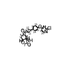 O=C1CO[C@H]2CCN(C(=O)N3CC(c4ccc(Oc5ccnc(Cl)n5)cc4)C3)C[C@H]2N1